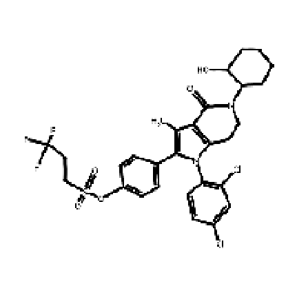 Cc1c2c(n(-c3ccc(Cl)cc3Cl)c1-c1ccc(OS(=O)(=O)CCC(F)(F)F)cc1)CCN(C1CCCCC1O)C2=O